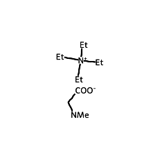 CC[N+](CC)(CC)CC.CNCC(=O)[O-]